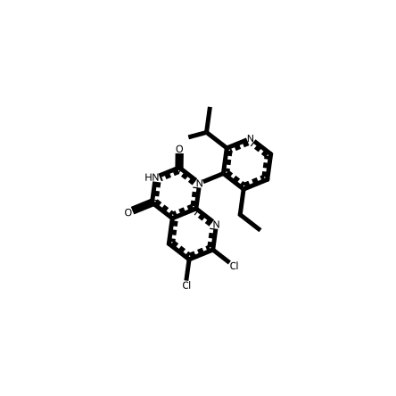 CCc1ccnc(C(C)C)c1-n1c(=O)[nH]c(=O)c2cc(Cl)c(Cl)nc21